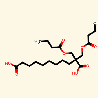 CCCC(=O)OCC(CCCCCCCCC(=O)O)(COC(=O)CCC)C(=O)O